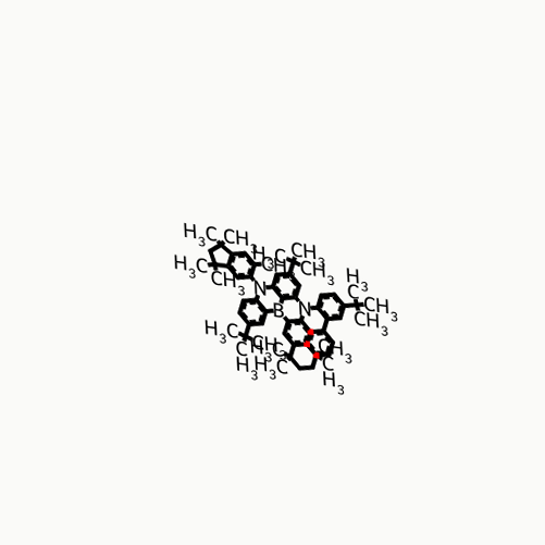 Cc1cc2c(cc1N1c3ccc(C(C)(C)C)cc3B3c4cc5c(cc4N(c4ccc(C(C)(C)C)cc4-c4ccccc4)c4cc(C(C)(C)C)cc1c43)C(C)(C)CCC5(C)C)C(C)(C)CC2(C)C